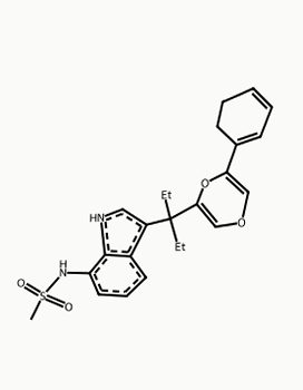 CCC(CC)(C1=COC=C(C2=CC=CCC2)O1)c1c[nH]c2c(NS(C)(=O)=O)cccc12